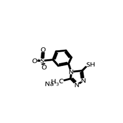 Cc1nnc(S)n1-c1cccc(S(=O)(=O)[O-])c1.[Na+]